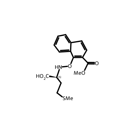 COC(=O)c1ccc2ccccc2c1ON[C@@H](CCSC)C(=O)O